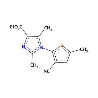 CCOC(=O)c1nc(C)n(-c2sc(C)cc2C#N)c1C